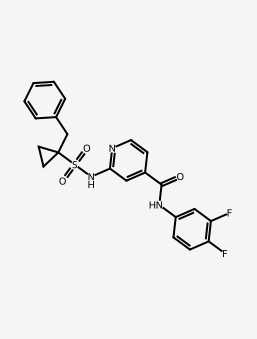 O=C(Nc1ccc(F)c(F)c1)c1ccnc(NS(=O)(=O)C2(Cc3ccccc3)CC2)c1